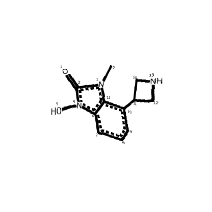 Cn1c(=O)n(O)c2cccc(C3CNC3)c21